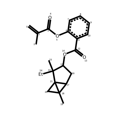 C=C(C)C(=O)Oc1ccccc1C(=O)OC1CC2C3(C)CC23C1(C)CC